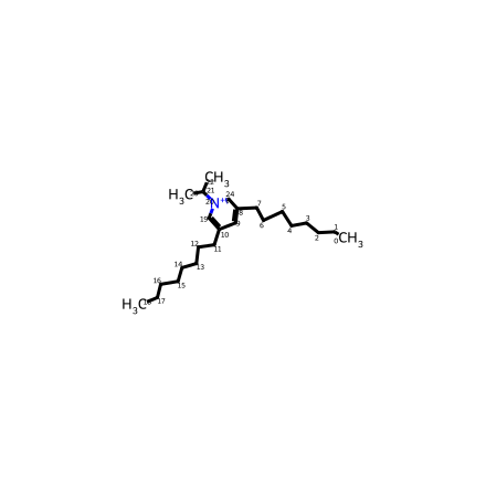 CCCCCCCCc1cc(CCCCCCCC)c[n+](C(C)C)c1